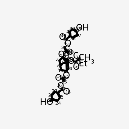 CCC(C)(C)C(=O)OC12CC3CC(OC(=O)COC(=O)c4ccc(O)cc4)(CC(OC(=O)COC(=O)c4ccc(O)cc4)(C3)C1)C2